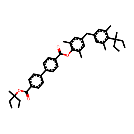 CCC(C)(CC)OC(=O)c1ccc(-c2ccc(C(=O)Oc3c(C)cc(Cc4cc(C)c(C(C)(CC)CC)c(C)c4)cc3C)cc2)cc1